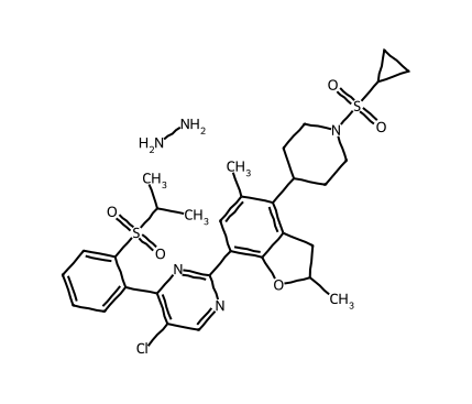 Cc1cc(-c2ncc(Cl)c(-c3ccccc3S(=O)(=O)C(C)C)n2)c2c(c1C1CCN(S(=O)(=O)C3CC3)CC1)CC(C)O2.NN